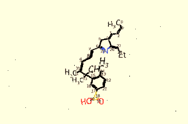 C\C=C/C=C1CC(/C=C/C=C(/C)C(C)(C)c2cc(S(=O)O)ccc2C)=NC/1=C\CC